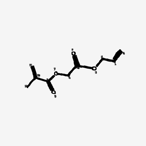 C=CCOC(=O)COC(=O)C(=C)C